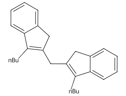 CCCCC1=C(CC2=C(CCCC)c3ccccc3C2)Cc2ccccc21